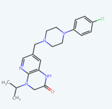 CC(C)N1CC(=O)Nc2cc(CN3CCN(c4ccc(Cl)cc4)CC3)cnc21